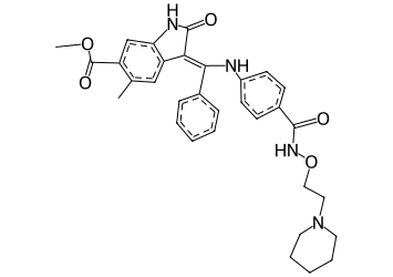 COC(=O)c1cc2c(cc1C)/C(=C(/Nc1ccc(C(=O)NOCCN3CCCCC3)cc1)c1ccccc1)C(=O)N2